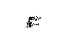 CCCc1nn(C)c2c(=O)n(CCOc3ccc(CC(OCC)C(=O)O)cc3)c(C)nc12.[NaH]